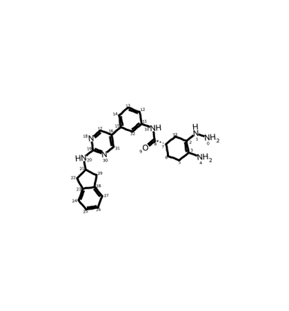 NNC1=C(N)CC[C@H](C(=O)Nc2cccc(-c3cnc(NC4Cc5ccccc5C4)nc3)c2)C1